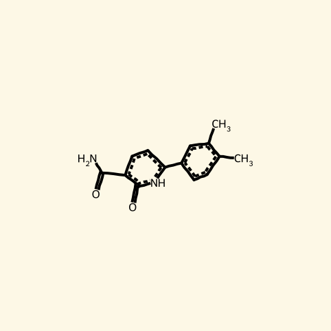 Cc1ccc(-c2ccc(C(N)=O)c(=O)[nH]2)cc1C